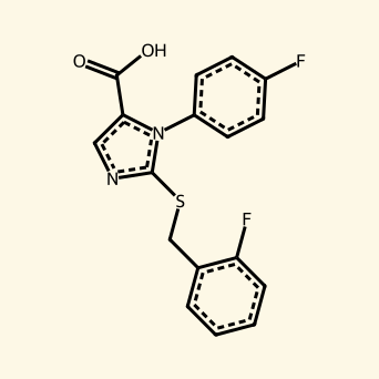 O=C(O)c1cnc(SCc2ccccc2F)n1-c1ccc(F)cc1